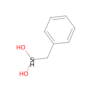 O[SiH](O)Cc1ccccc1